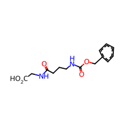 O=C(O)CNC(=O)CCCNC(=O)OCc1ccccc1